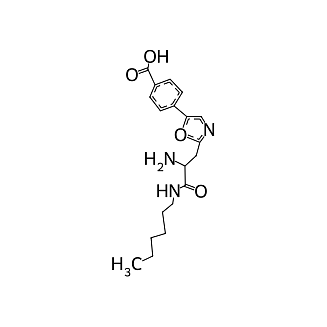 CCCCCCNC(=O)C(N)Cc1ncc(-c2ccc(C(=O)O)cc2)o1